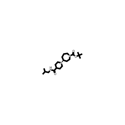 CC(C)CNC(=O)C1CCN([C@H]2CCCN(C(=O)OC(C)(C)C)CC2)CC1